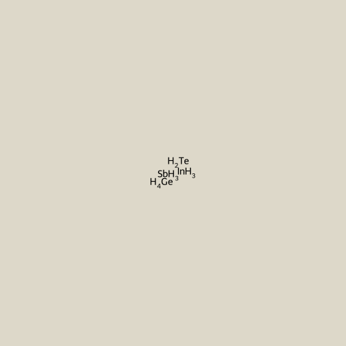 [GeH4].[InH3].[SbH3].[TeH2]